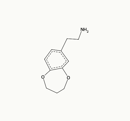 NCCc1ccc2c(c1)OCCCO2